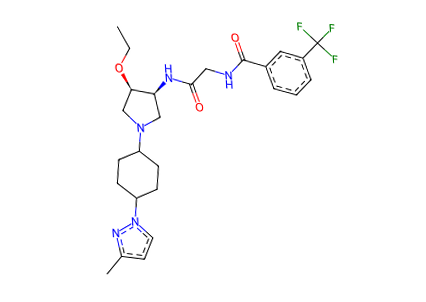 CCO[C@@H]1CN(C2CCC(n3ccc(C)n3)CC2)C[C@@H]1NC(=O)CNC(=O)c1cccc(C(F)(F)F)c1